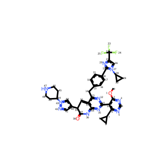 COc1ncnc(C2CC2)c1-c1nc(Cc2ccc(-c3nc(C(F)(F)F)cn3C3CC3)cc2)c2c(n1)=NC(=O)C(c1cnn(C3CCNCC3)c1)C=2